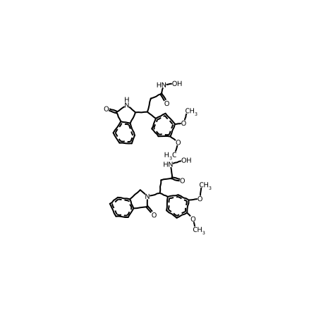 COc1ccc(C(CC(=O)NO)C2NC(=O)c3ccccc32)cc1OC.COc1ccc(C(CC(=O)NO)N2Cc3ccccc3C2=O)cc1OC